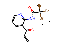 C=CC(=O)c1cccnc1NC(=O)C(Br)(Br)Br